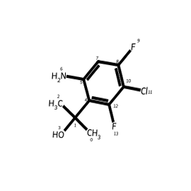 CC(C)(O)c1c(N)cc(F)c(Cl)c1F